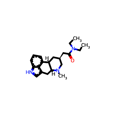 CCN(CC)C(=O)C[C@@H]1C[C@@H]2c3cccc4[nH]cc(c34)C[C@H]2N(C)C1